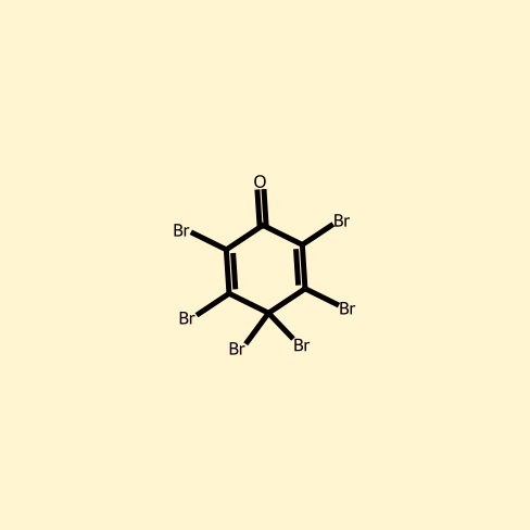 O=C1C(Br)=C(Br)C(Br)(Br)C(Br)=C1Br